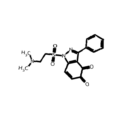 CN(C)CCS(=O)(=O)n1nc(-c2ccccc2)c2c1C=CC(=O)C2=O